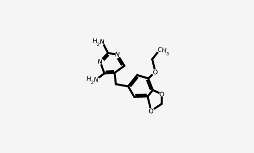 CCOc1cc(Cc2cnc(N)nc2N)cc2c1OCO2